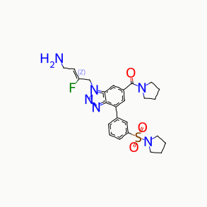 NC/C=C(\F)Cn1nnc2c(-c3cccc(S(=O)(=O)N4CCCC4)c3)cc(C(=O)N3CCCC3)cc21